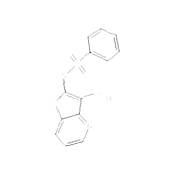 Cl.O=S(=O)(Nc1sc2cccnc2c1Br)c1ccccc1